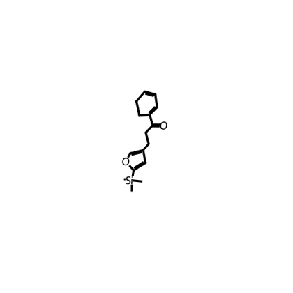 C[Si](C)(C)c1cc(CCC(=O)C2=CC=CCC2)co1